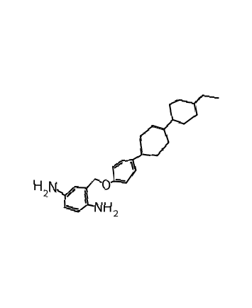 CCC1CCC(C2CCC(c3ccc(OCc4cc(N)ccc4N)cc3)CC2)CC1